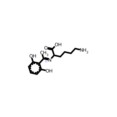 C/C(=N\C(CCCCN)C(=O)O)c1c(O)cccc1O